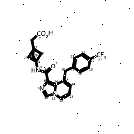 O=C(O)CC12CC(NC(=O)c3ncn4cccc(Cc5ccc(C(F)(F)F)cc5)c34)(C1)C2